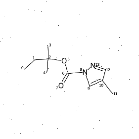 CCC(C)(C)OC(=O)n1cc(C)cn1